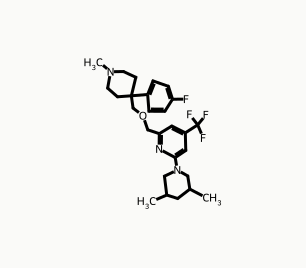 CC1CC(C)CN(c2cc(C(F)(F)F)cc(COCC3(c4ccc(F)cc4)CCN(C)CC3)n2)C1